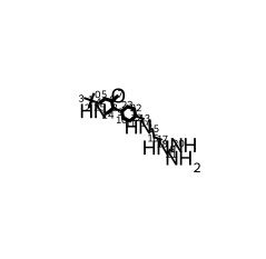 CC(C)(C)c1cc(=O)c(-c2ccc(CNCCCNC(=N)N)cc2)c[nH]1